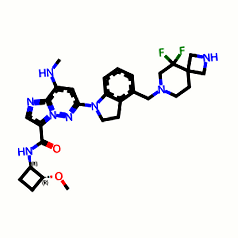 CNc1cc(N2CCc3c(CN4CCC5(CNC5)C(F)(F)C4)cccc32)nn2c(C(=O)N[C@@H]3CC[C@H]3OC)cnc12